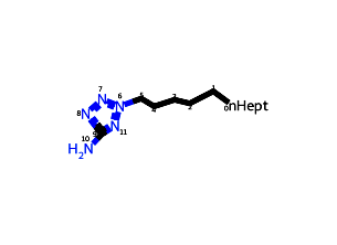 CCCCCCCCCCCCn1nnc(N)n1